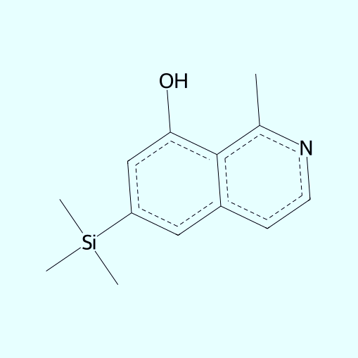 Cc1nccc2cc([Si](C)(C)C)cc(O)c12